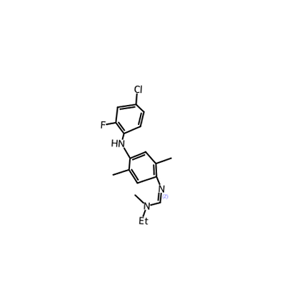 CCN(C)/C=N\c1cc(C)c(Nc2ccc(Cl)cc2F)cc1C